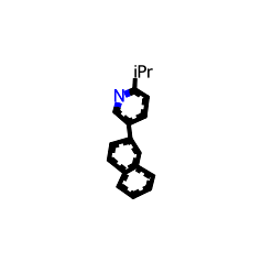 CC(C)c1ccc(-c2ccc3ccccc3c2)cn1